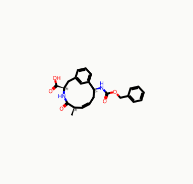 C[C@@H]1C=CC[C@H](NC(=O)OCc2ccccc2)c2cccc(c2)C[C@H](C(=O)O)NC1=O